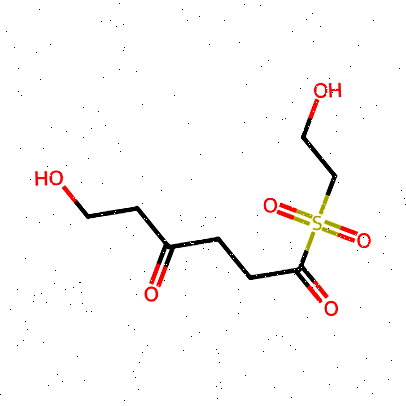 O=C(CCO)CCC(=O)S(=O)(=O)CCO